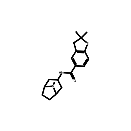 CN1C2CCC1CC(NC(=O)c1ccc3c(c1)CC(C)(C)S3)C2